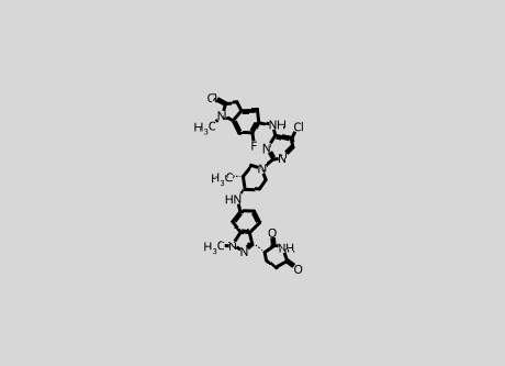 C[C@@H]1CN(c2ncc(Cl)c(Nc3cc4c(cc3F)N(C)C(=O)C4)n2)CC[C@H]1Nc1ccc2c([C@H]3CCC(=O)NC3=O)nn(C)c2c1